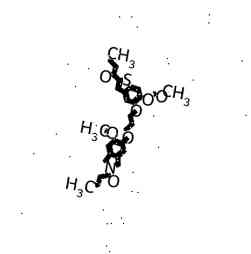 CCCC(=O)c1cc2cc(OCCCOc3cc4c(cc3OC)CN(C(=O)CCC)C4)c(OCOC)cc2s1